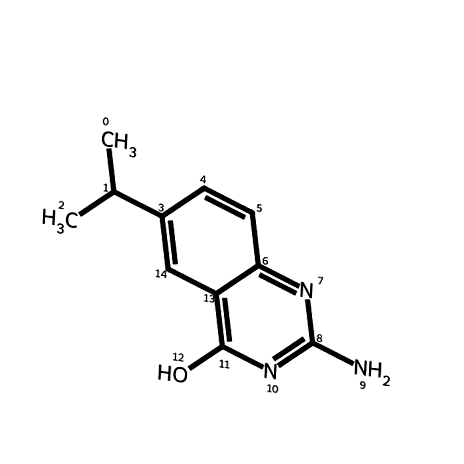 CC(C)c1ccc2nc(N)nc(O)c2c1